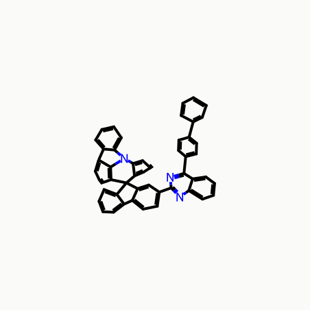 c1ccc(-c2ccc(-c3nc(-c4ccc5c(c4)C4(c6ccccc6-5)c5ccccc5-n5c6ccccc6c6cccc4c65)nc4ccccc34)cc2)cc1